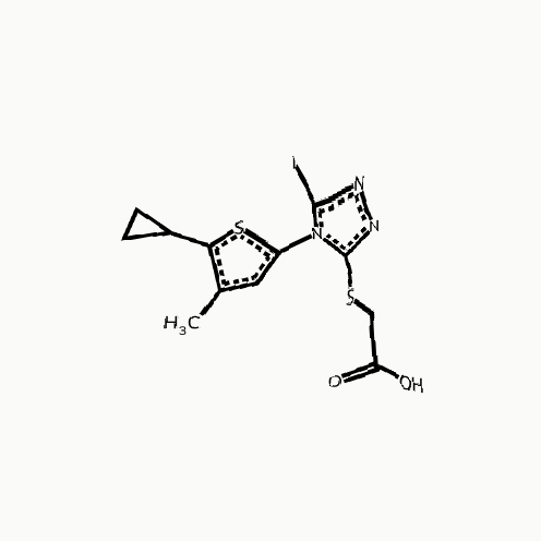 Cc1cc(-n2c(I)nnc2SCC(=O)O)sc1C1CC1